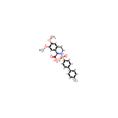 COc1cc2c(cc1OC)C(C(=O)O)N(S(=O)(=O)c1ccc(-c3ccc(Cl)cc3)cc1)CC2